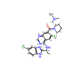 CCN(C)C[C@@H]1CCCCN1C(=O)c1cc2ncnc(N[C@@H](C)c3nc4cc(Cl)ccc4[nH]3)c2cc1Cl